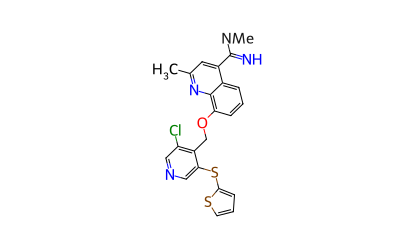 CNC(=N)c1cc(C)nc2c(OCc3c(Cl)cncc3Sc3cccs3)cccc12